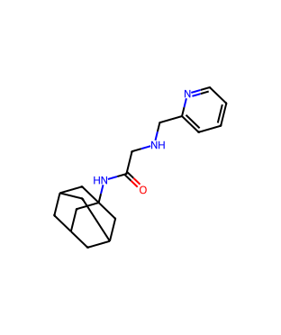 O=C(CNCc1ccccn1)NC12CC3CC(CC(C3)C1)C2